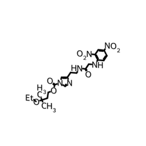 CCOC(C)(C)CCOC(=O)n1cnc(CCNC(=O)CNc2ccc([N+](=O)[O-])cc2[N+](=O)[O-])c1